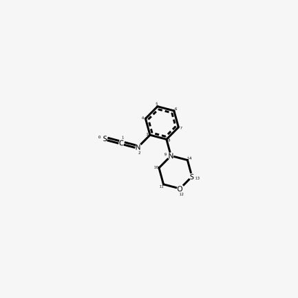 S=C=Nc1ccccc1N1CCOSC1